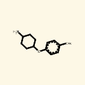 CC(=O)Oc1ccc(OC2CCC(N)CC2)cc1